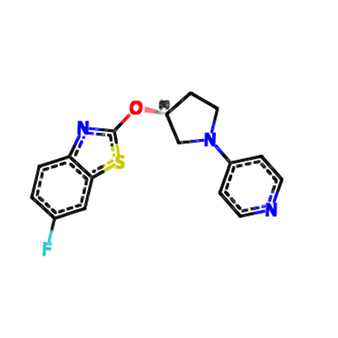 Fc1ccc2nc(O[C@@H]3CCN(c4ccncc4)C3)sc2c1